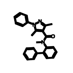 Cc1nn(-c2ccccc2)c(C)c1C(=O)N(C)c1ccccc1-c1ccccc1